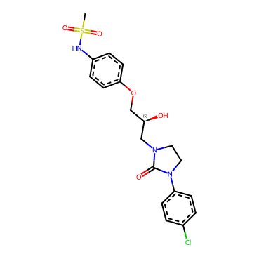 CS(=O)(=O)Nc1ccc(OC[C@@H](O)CN2CCN(c3ccc(Cl)cc3)C2=O)cc1